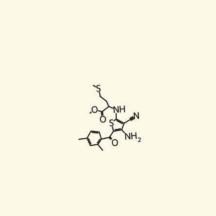 COC(=O)C(CCSC)Nc1sc(C(=O)c2ccc(C)cc2C)c(N)c1C#N